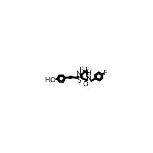 O=C(NCc1ccc(F)cc1)c1sc(C#Cc2ccc(O)cc2)nc1C(F)(F)F